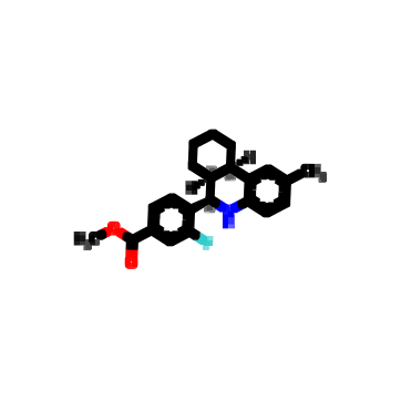 COC(=O)c1ccc([C@@H]2Nc3ccc(C)cc3[C@@H]3CCCC[C@@H]32)c(F)c1